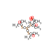 CCc1cc(Sc2ccc([S+](c3ccc(Sc4ccc(C(C)=O)c(CC)c4)cc3)c3ccc(Sc4ccc(C(C)=O)c(CC)c4)cc3)cc2)ccc1C(C)=O.Cc1ccc(S(=O)(=O)[O-])cc1